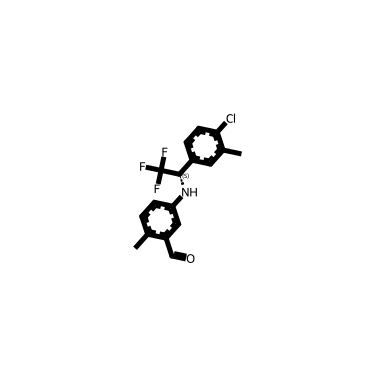 Cc1cc([C@H](Nc2ccc(C)c(C=O)c2)C(F)(F)F)ccc1Cl